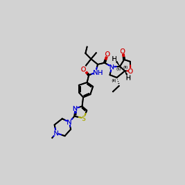 CC[C@@H]1CN(C(=O)C(NC(=O)c2ccc(-c3csc(N4CCN(C)CC4)n3)cc2)C(C)(C)CC)[C@@H]2C(=O)CO[C@H]12